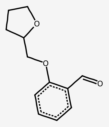 O=Cc1ccccc1OCC1CCCO1